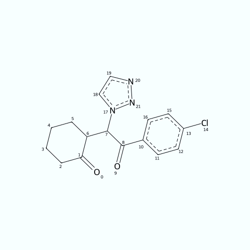 O=C1CCCCC1C(C(=O)c1ccc(Cl)cc1)n1ccnn1